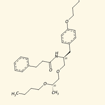 CCCCOc1ccc(C[C@@H](COC[C@H](C)OCCCC)NC(=O)CCc2ccccc2)cc1